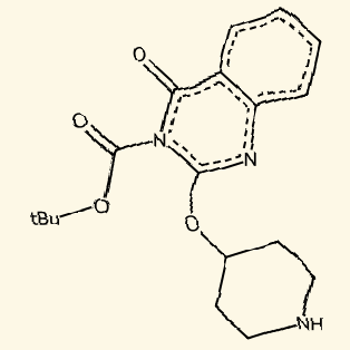 CC(C)(C)OC(=O)n1c(OC2CCNCC2)nc2ccccc2c1=O